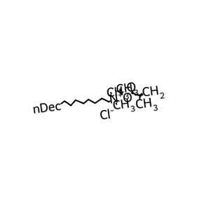 C=C(C)C(=O)OC(C)[N+](C)(C)CCCCCCCCCCCCCCCCCC.[Cl-]